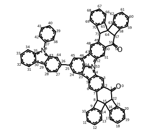 O=C1c2cc3c(cc2C2c4ccccc4C24c2ccccc2C14)c1cc(-c2ccc4c5ccccc5n(-c5ccccc5)c4c2)cc2c4cc5c(cc4n3c12)C(=O)C1c2ccccc2C12c1ccccc1C52